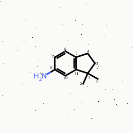 CC1(C)CCc2ccc(N)cc21